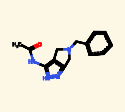 CC(=O)Nc1[nH]nc2c1CN(Cc1ccccc1)C2